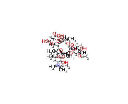 CC[C@H]1OC(=O)[C@H](C)[C@@H](O[C@H]2C[C@@](C)(OC)[C@@H](O)[C@H](C)O2)[C@H](C)[C@@H](O[C@@H]2O[C@H](C)C[C@H](N(C)C(C)C)[C@H]2O)[C@@]2(C)CC(C)=C(O2)[C@H](C)C(=O)[C@]1(C)OC.O=C(O)/C=C/C(=O)O